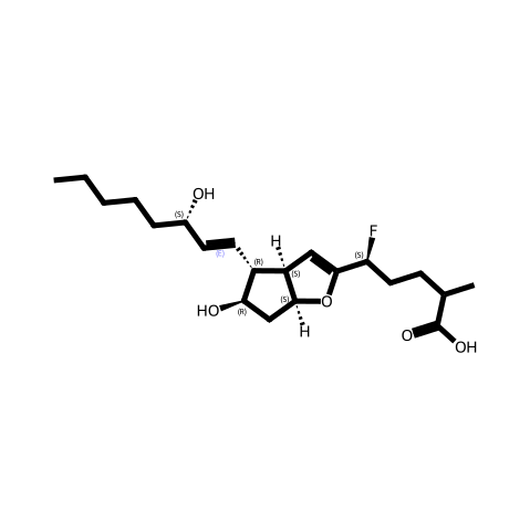 CCCCC[C@H](O)/C=C/[C@@H]1[C@H]2C=C([C@@H](F)CCC(C)C(=O)O)O[C@H]2C[C@H]1O